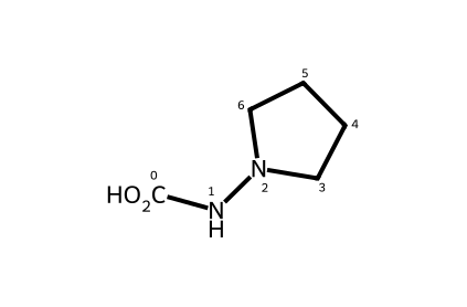 O=C(O)NN1CCCC1